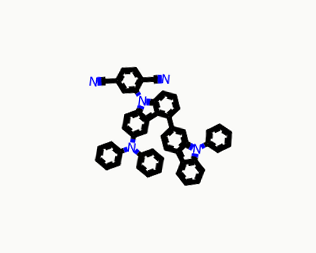 N#Cc1ccc(C#N)c(-n2c3ccc(N(c4ccccc4)c4ccccc4)cc3c3c(-c4ccc5c6ccccc6n(-c6ccccc6)c5c4)cccc32)c1